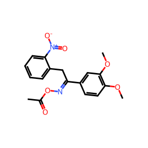 COc1ccc(C(Cc2ccccc2[N+](=O)[O-])=NOC(C)=O)cc1OC